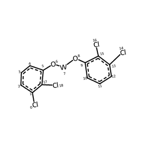 Clc1cccc([O][W][O]c2cccc(Cl)c2Cl)c1Cl